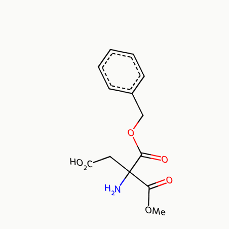 COC(=O)C(N)(CC(=O)O)C(=O)OCc1ccccc1